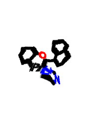 CC(C)c1ccccc1OC(Cn1ccnc1)c1cccc2ccccc12